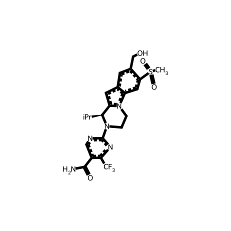 CC(C)[C@H]1c2cc3cc(CO)c(S(C)(=O)=O)cc3n2CCN1c1ncc(C(N)=O)c(C(F)(F)F)n1